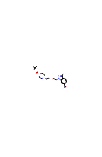 Cc1nn(CCOCCN2CCN(C(=O)OC(C)(C)C)CC2)c2cc(C(N)=O)ccc12